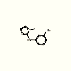 Cn1ccnc1Nc1cccc(C(C)(C)C)c1